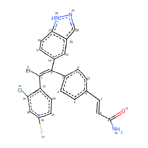 CC/C(=C(/c1ccc(C=CC(N)=O)cc1)c1ccc2[nH]ncc2c1)c1ccc(F)cc1Cl